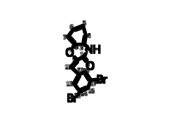 O=C1Nc2ccccc2O/C1=C/c1cc(Br)cc(Br)c1